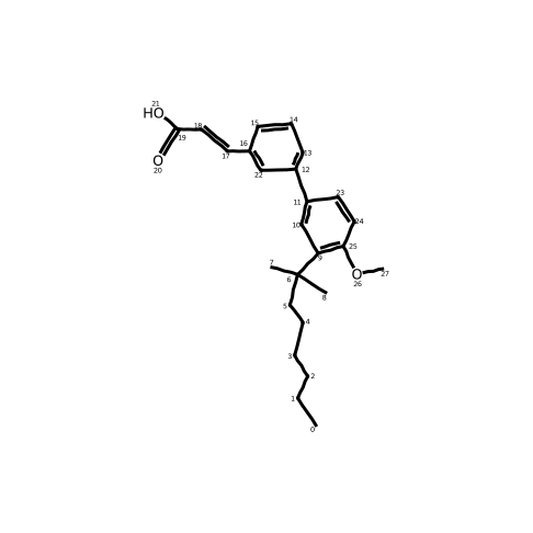 CCCCCCC(C)(C)c1cc(-c2cccc(C=CC(=O)O)c2)ccc1OC